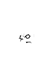 C#CC(C)Oc1cc(-n2ncc(C(F)(F)F)c(C)c2=O)c(F)cc1Cl